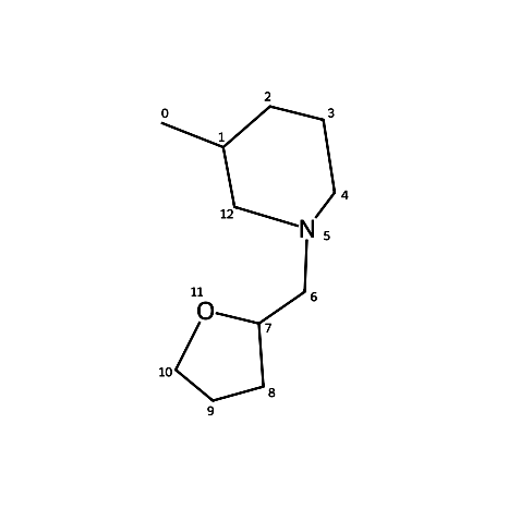 CC1CCCN(CC2CCCO2)C1